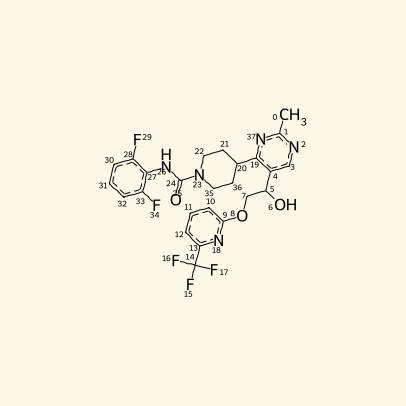 Cc1ncc(C(O)COc2cccc(C(F)(F)F)n2)c(C2CCN(C(=O)Nc3c(F)cccc3F)CC2)n1